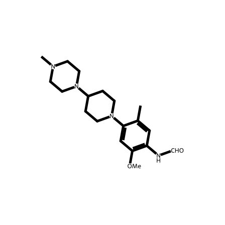 COc1cc(N2CCC(N3CCN(C)CC3)CC2)c(C)cc1NC=O